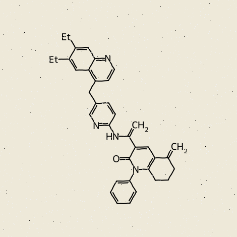 C=C1CCCc2c1cc(C(=C)Nc1ccc(Cc3ccnc4cc(CC)c(CC)cc34)cn1)c(=O)n2-c1ccccc1